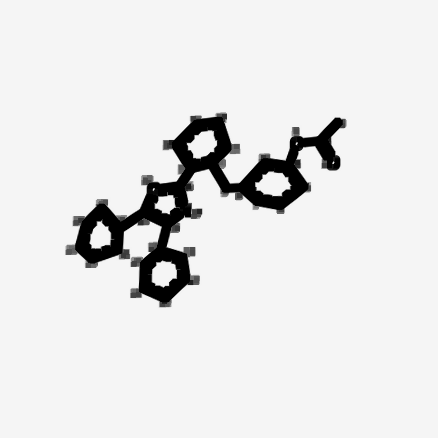 CC(=O)Oc1cccc(Cc2ccccc2-c2nc(-c3ccccc3)c(-c3ccccc3)o2)c1